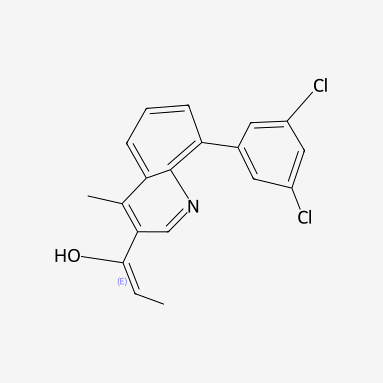 C/C=C(/O)c1cnc2c(-c3cc(Cl)cc(Cl)c3)cccc2c1C